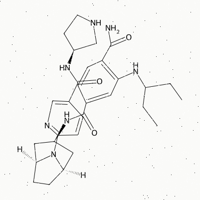 CCC(CC)Nc1cc(C(=O)N[C@H]2C[C@H]3CC[C@@H](C2)N3c2ccc(C(=O)N[C@H]3CCNC3)cn2)ccc1C(N)=O